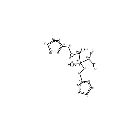 N[C@](CCc1ccccc1)(C(=O)OCc1ccccc1)C(F)F